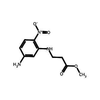 COC(=O)CCNc1cc(N)ccc1[N+](=O)[O-]